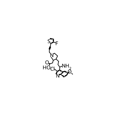 COc1ccc2ncc(Cl)c(C(N)CCC3CCN(CC#Cc4sccc4F)CC3CC(=O)O)c2c1